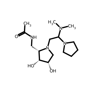 CC(=O)NC[C@H]1[C@@H](O)[C@@H](O)CN1CC(N(C)C)N1CCCC1